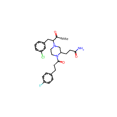 CNC(=O)C(Cc1cccc(Cl)c1)N1CCN(C(=O)[CH]Cc2ccc(F)cc2)C(CCC(N)=O)C1